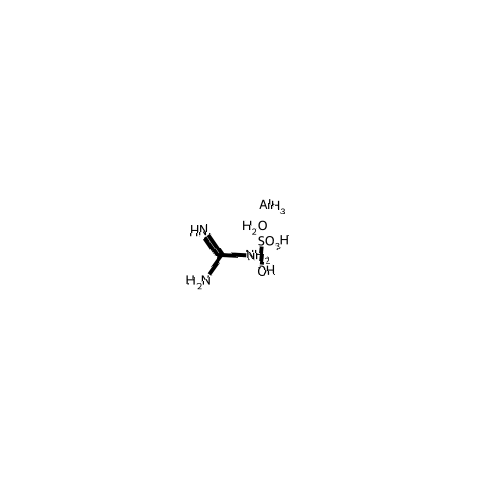 N=C(N)N.O.O=S(=O)(O)O.[AlH3]